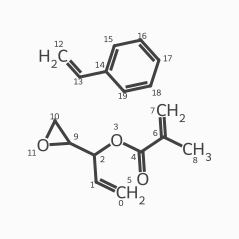 C=CC(OC(=O)C(=C)C)C1CO1.C=Cc1ccccc1